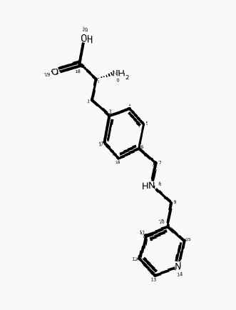 N[C@H](Cc1ccc(CNCc2cccnc2)cc1)C(=O)O